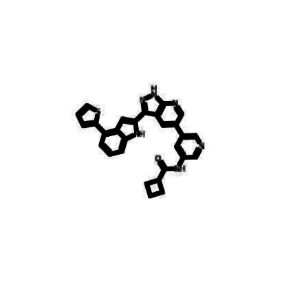 O=C(Nc1cncc(-c2cnc3[nH]nc(-c4cc5c(-c6cccs6)cccc5[nH]4)c3c2)c1)C1CCC1